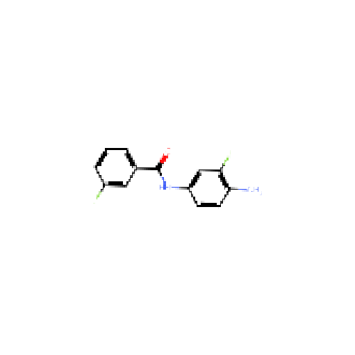 Nc1ccc(NC(=O)c2cccc(F)c2)cc1F